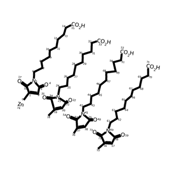 CC1=CC(=O)N(CCCCCCCCCC(=O)O)C1=O.CC1=CC(=O)N(CCCCCCCCCC(=O)O)C1=O.CC1=CC(=O)N(CCCCCCCCCCC(=O)O)C1=O.CC1=CC(=O)N(CCCCCCCCCCC(=O)O)C1=O.[Zn]